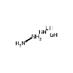 NN.[LiH].[LiH].[LiH]